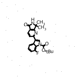 CC(C)(C)OC(=O)n1cc(-c2ccc3c(n2)C(C)(C)NC3=O)c2cccc(F)c21